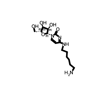 NCCCCCCNc1ccn([C@@H]2O[C@H](CO)[C@@H](O)[C@H]2O)c(=O)n1